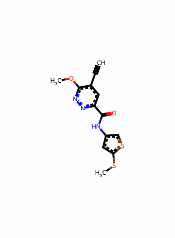 C#Cc1cc(C(=O)Nc2csc(SC)c2)nnc1OC